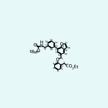 CCOC(=O)Cc1ccccc1OCc1cc(-c2cccc(CNC(=O)OC(C)(C)C)c2)c2occc2c1